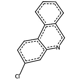 Clc1ccc2c(c1)ncc1ccccc12